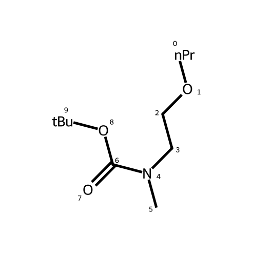 CCCOCCN(C)C(=O)OC(C)(C)C